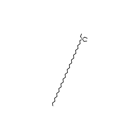 [CH2]CCCCCCCCCCCCCCCCCCCCCCCCCCC[Si](CC)(CC)CC